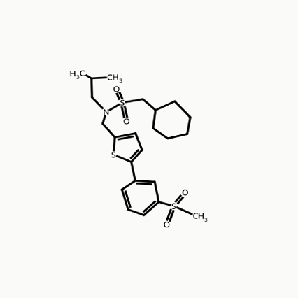 CC(C)CN(Cc1ccc(-c2cccc(S(C)(=O)=O)c2)s1)S(=O)(=O)CC1CCCCC1